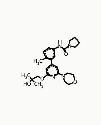 Cc1ccc(NC(=O)N2CCCC2)cc1-c1cc(OCC(C)(C)O)nc(N2CCOCC2)c1